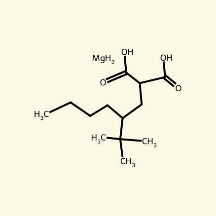 CCCCC(CC(C(=O)O)C(=O)O)C(C)(C)C.[MgH2]